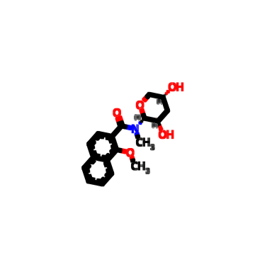 COc1c(C(=O)N(C)[C@@H]2OC[C@H](O)C[C@H]2O)ccc2ccccc12